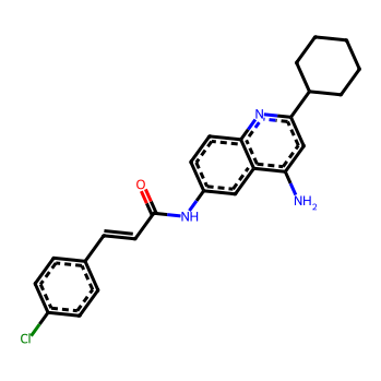 Nc1cc(C2CCCCC2)nc2ccc(NC(=O)C=Cc3ccc(Cl)cc3)cc12